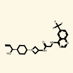 C=CC(O)[C@H]1CC[C@H](N2CC(NC(=O)CNc3ncnc4ccc(C(F)(F)F)cc34)C2)CC1